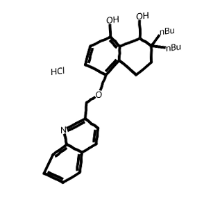 CCCCC1(CCCC)CCc2c(OCc3ccc4ccccc4n3)ccc(O)c2C1O.Cl